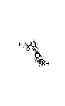 NC(=O)c1cccc2cn(-c3ccc(C45CCNCC4(CO)C5)cc3)nc12